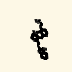 CCSc1ccnc(Cc2cccnc2CSc2nc3ccccc3[nH]2)c1C